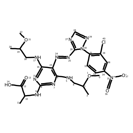 COC(C)CNc1nc(NC(C)C(=O)O)nc(NCC(C)OC)c1N=Nc1ncnn1-c1ccc([N+](=O)[O-])cc1Cl